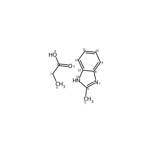 CCC(=O)O.Cc1nc2ccccc2[nH]1